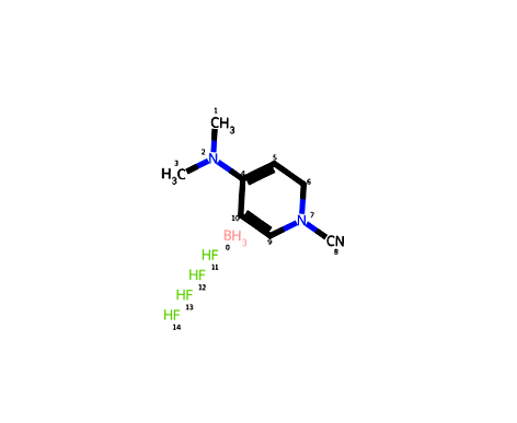 B.CN(C)C1=CCN(C#N)C=C1.F.F.F.F